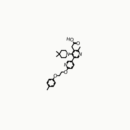 Cc1ccc(OCCOc2ccc(-c3cnc(C)c(CC(=O)O)c3N3CCC(C)(C)CC3)cn2)cc1